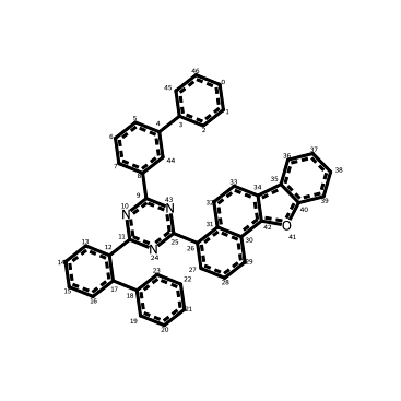 c1ccc(-c2cccc(-c3nc(-c4ccccc4-c4ccccc4)nc(-c4cccc5c4ccc4c6ccccc6oc54)n3)c2)cc1